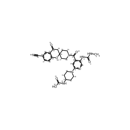 CNC(=O)Nc1cnc(N2CCC(NC(=O)O)CC2)cc1C(=O)N1CCC2(CC1)CC(=O)c1cc(C#N)ccc1O2